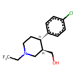 OC[C@H]1CN(CC(F)(F)F)CC[C@@H]1c1ccc(Cl)cc1